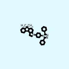 CC1(C)c2ccccc2-c2c1ccc1c2ccn1-c1ccc(-n2c(-c3ccccc3)nnc2-c2ccccc2)cc1